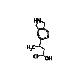 CC(CC(O)Cl)c1ccc2c(c1)CNC2